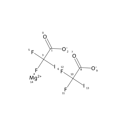 O=C([O-])C(F)(F)I.O=C([O-])C(F)(F)I.[Mg+2]